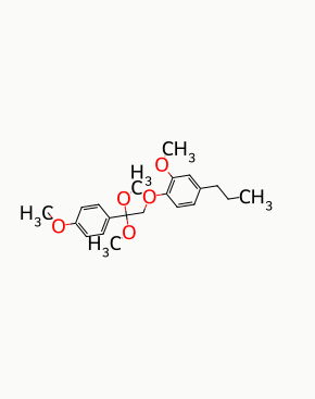 CCCc1ccc(OCC(OC)(OC)c2ccc(OC)cc2)c(OC)c1